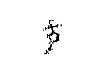 N#Cn1ccc(C(F)(F)F)n1